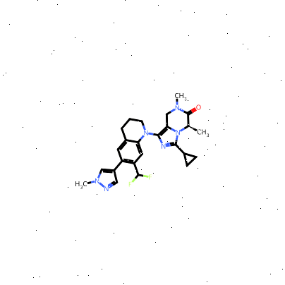 C[C@@H]1C(=O)N(C)Cc2c(N3CCCc4cc(-c5cnn(C)c5)c(C(F)F)cc43)nc(C3CC3)n21